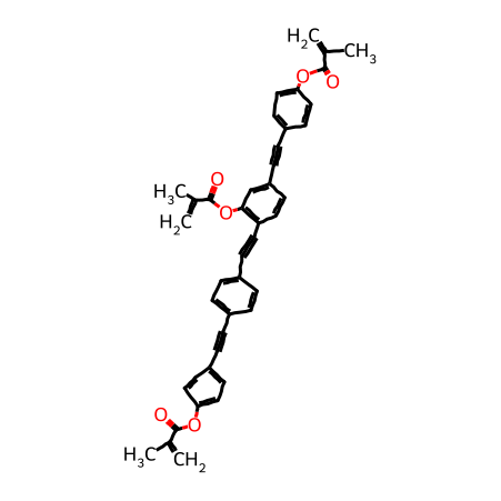 C=C(C)C(=O)Oc1ccc(C#Cc2ccc(C#Cc3ccc(C#Cc4ccc(OC(=O)C(=C)C)cc4)cc3OC(=O)C(=C)C)cc2)cc1